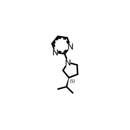 CC(C)[C@@H]1CCN(c2ncccn2)C1